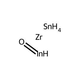 [O]=[InH].[SnH4].[Zr]